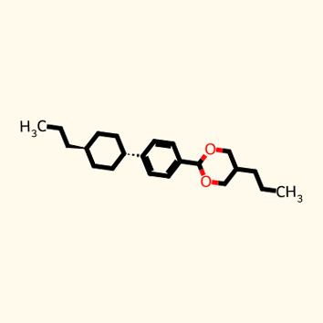 CCCC1COC(c2ccc([C@H]3CC[C@H](CCC)CC3)cc2)OC1